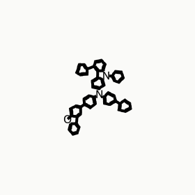 c1ccc(-c2ccc(N(c3ccc(-c4ccc5oc6ccccc6c5c4)cc3)c3ccc4c5c(-c6ccccc6)cccc5n(-c5ccccc5)c4c3)cc2)cc1